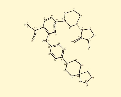 CN1CCN([C@H]2CCCN(c3cnc(C(N)=O)c(Nc4ccc(N5CCC6(CCNC6)CC5)cc4)n3)C2)C1=O